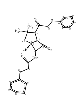 CC1(C)S[C@H]2C(NC(=O)COc3ccccc3)C(=O)N2C1C(=O)OCc1ccccc1